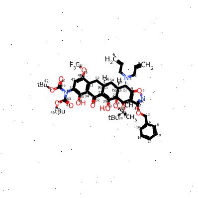 C=CCN(CC=C)[C@@H]1c2onc(OCc3ccccc3)c2C(=O)C2(O[Si](C)(C)C(C)(C)C)C(O)=C3C(=O)c4c(O)c(N(C(=O)OC(C)(C)C)C(=O)OC(C)(C)C)cc(OC(F)(F)F)c4C[C@H]3C[C@@H]12